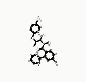 CCCC(C(C)Oc1ccc(C(F)(F)F)cn1)N(CC)C(=O)c1ccc(F)cc1-c1ncccn1